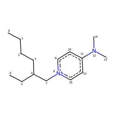 CCCCC(CC)C[n+]1ccc(N(C)C)cc1